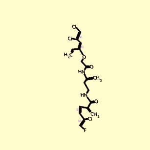 C=C/C(=C\C(Cl)=C\Cl)OCC(=O)NC(=C)CCNC(=O)C(=C)/C=C\C(Cl)=C\F